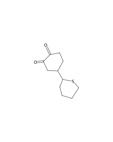 O=C1CCC(C2CCCCS2)CC1=O